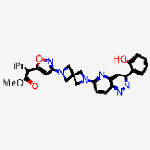 COC(=O)C(c1cc(N2CC3(C2)CN(c2ccc4nnc(-c5ccccc5O)cc4n2)C3)no1)C(C)C